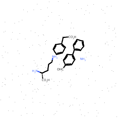 N.NCCC[C@H](N)C(=O)O.O=C(O)Cc1ccccc1.O=Cc1ccc(-c2ccccc2)cc1